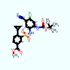 COC(=O)c1ccc(C2CC2)c(S(=O)(=O)Nc2cc(C#N)c(Cl)cc2NC(=O)OC(C)(C)C)c1